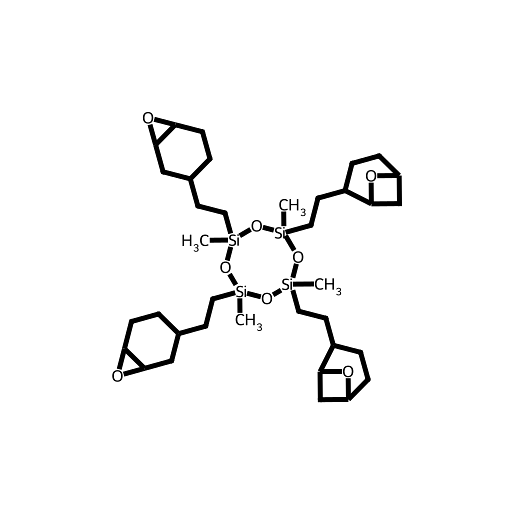 C[Si]1(CCC2CCC3OC3C2)O[Si](C)(CCC2CCC3OC3C2)O[Si](C)(CCC2CCC3CC2O3)O[Si](C)(CCC2CCC3CC2O3)O1